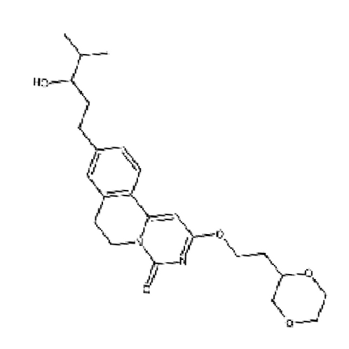 CC(C)C(O)CCc1ccc2c(c1)CCn1c-2cc(OCCC2COCCO2)nc1=O